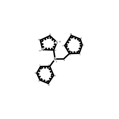 c1ccc(CN(c2ccccc2)c2nccs2)cc1